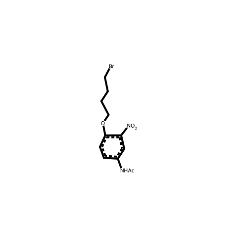 CC(=O)Nc1ccc(OCCCCBr)c([N+](=O)[O-])c1